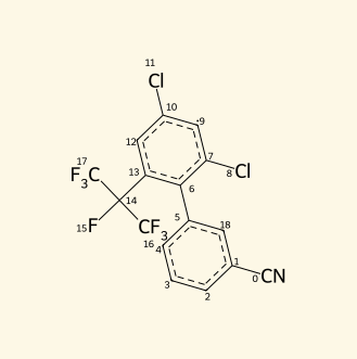 N#Cc1cccc(-c2c(Cl)[c]c(Cl)cc2C(F)(C(F)(F)F)C(F)(F)F)c1